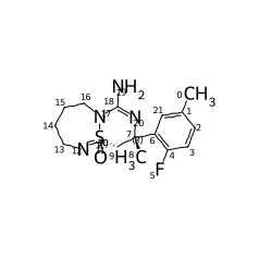 Cc1ccc(F)c([C@]2(C)C[S@]3(=O)=NCCCCN3C(N)=N2)c1